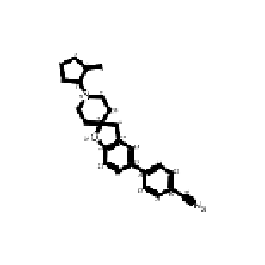 CC1CCCC1N1CCC2(CC1)Cc1cc(-c3ccc(C#N)cc3)ccc1O2